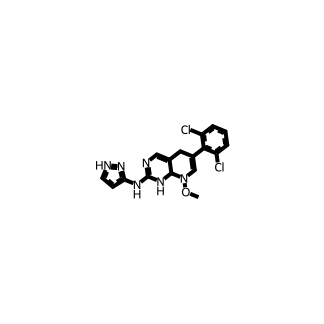 CON1C=C(c2c(Cl)cccc2Cl)CC2=CN=C(Nc3cc[nH]n3)NC21